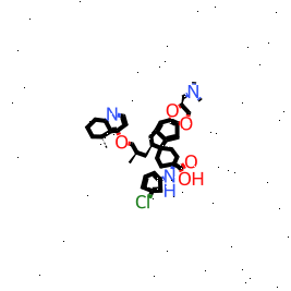 C[C@@H](COc1ccnc2c1[C@H](C)CCC2)C[C@H]1Cc2cc3c(cc2C12CCC(Nc1cccc(Cl)c1)(C(=O)O)CC2)OC[C@H](CN(C)C)O3